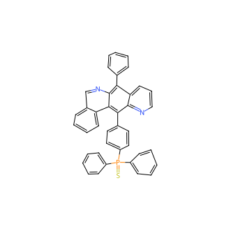 S=P(c1ccccc1)(c1ccccc1)c1ccc(-c2c3ncccc3c(-c3ccccc3)c3ncc4ccccc4c23)cc1